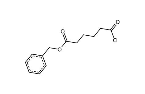 O=C(Cl)CCCCC(=O)OCc1ccccc1